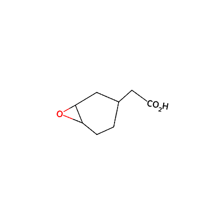 O=C(O)CC1CCC2OC2C1